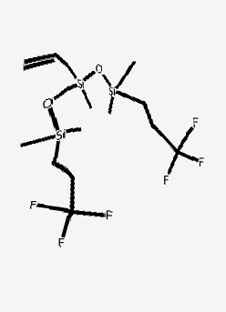 C=C[Si](C)(O[Si](C)(C)CCC(F)(F)F)O[Si](C)(C)CCC(F)(F)F